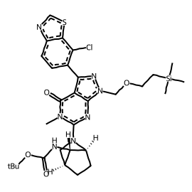 Cn1c(N2C[C@@H]3CC[C@H]2[C@H]3NC(=O)OC(C)(C)C)nc2c(c(-c3ccc4ncsc4c3Cl)nn2COCC[Si](C)(C)C)c1=O